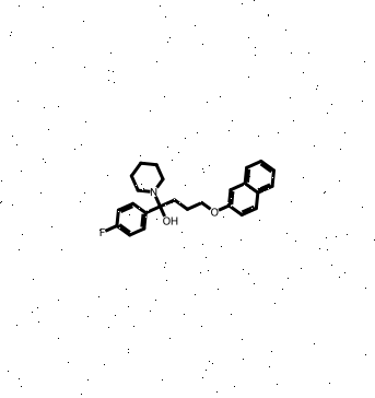 OC(CCCOc1ccc2ccccc2c1)(c1ccc(F)cc1)N1CCCCC1